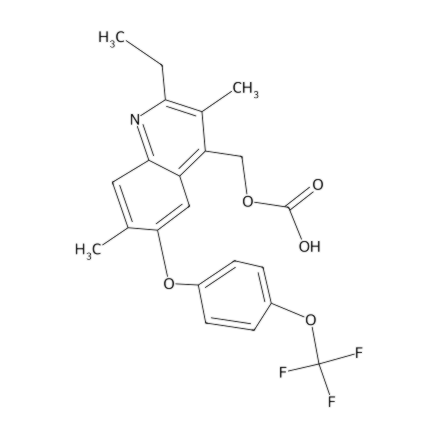 CCc1nc2cc(C)c(Oc3ccc(OC(F)(F)F)cc3)cc2c(COC(=O)O)c1C